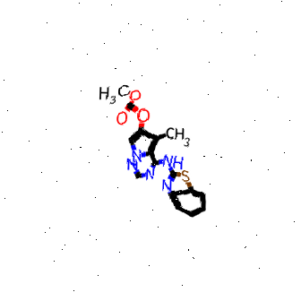 COC(=O)Oc1cn2ncnc(Nc3nc4ccccc4s3)c2c1C